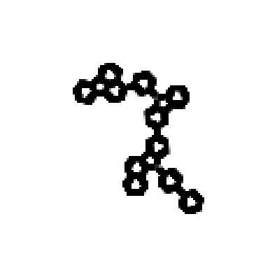 c1ccc(-c2ccc(-n3c4ccc(-c5ccc6c(c5)c5ccccc5n6-c5cccc(-c6ccc7c8c(cccc68)-c6ccccc6-7)c5)cc4c4ccc5ccccc5c43)cc2)cc1